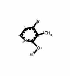 CCOc1nccc(Br)c1C